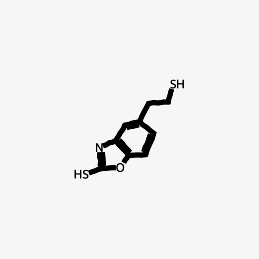 SCCc1ccc2oc(S)nc2c1